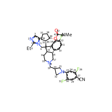 CCc1nccn1CC(c1cccc(F)c1)(C1CCN(CC2CN(c3cc(F)c(C#N)cc3F)C2)CC1)[C@H]1CCC[C@@H]1OC(=O)NC